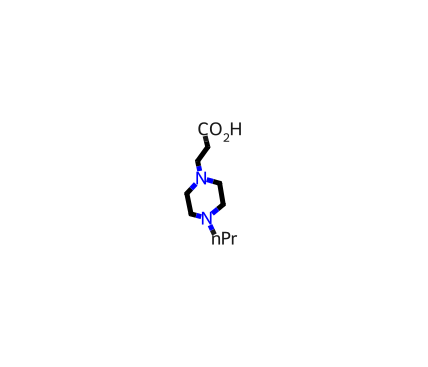 CCCN1CCN(CCC(=O)O)CC1